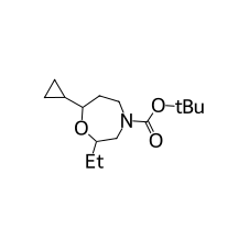 CCC1CN(C(=O)OC(C)(C)C)CCC(C2CC2)O1